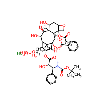 CC(=O)O[C@@]12CO[C@@H]1C[C@H](O)[C@@]1(C)C(=O)[C@H](O)C3=C(C)[C@@H](OC(=O)C(O)[C@@H](NC(=O)OC(C)(C)C)c4ccccc4)C[C@@](O)([C@@H](OC(=O)c4ccccc4)[C@H]21)C3(C)C.Cl.O.O.O